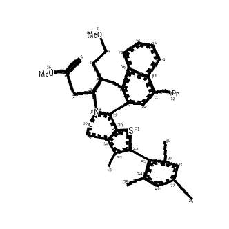 C=C(CC1C(CCOC)c2c(cc(C(C)C)c3ccccc23)-c2c3sc(-c4c(C)cc(C)cc4C)c(C)c3cc[n+]21)OC